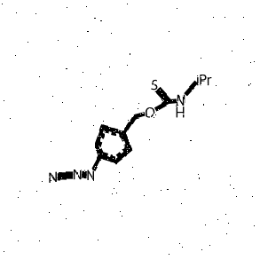 CC(C)NC(=S)OCc1ccc(N=[N+]=[N-])cc1